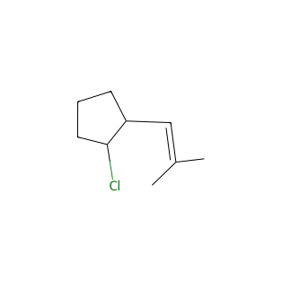 CC(C)=CC1CCCC1Cl